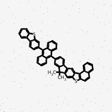 CC1(C)c2cc(-c3c4ccccc4c(-c4ccc5c(c4)sc4ccccc45)c4ccccc34)ccc2-c2cc3c(cc21)sc1ccc2ccccc2c13